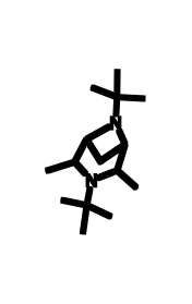 CC1C2CC(C(C)N1C(C)(C)C)N2C(C)(C)C